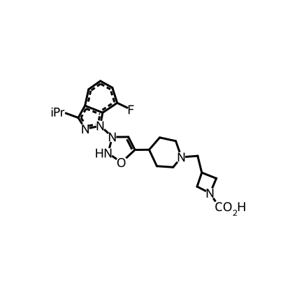 CC(C)c1nn(N2C=C(C3CCN(CC4CN(C(=O)O)C4)CC3)ON2)c2c(F)cccc12